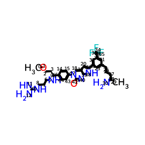 COCC[C@H](NCCCNC(=N)N)c1ccc(-n2cc3cc(-c4cc(CCC[C@H](C)N)cc(C(F)(F)F)c4)[nH]c3nc2=O)cc1